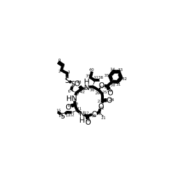 C=CCCSSC[C@H]1NC(=O)[C@@H](CCSC)NC(=O)C[C@@H](C)OC(=O)C[C@H](OC(=O)c2ccccc2)[C@@H](C(C)CC)NC1=O